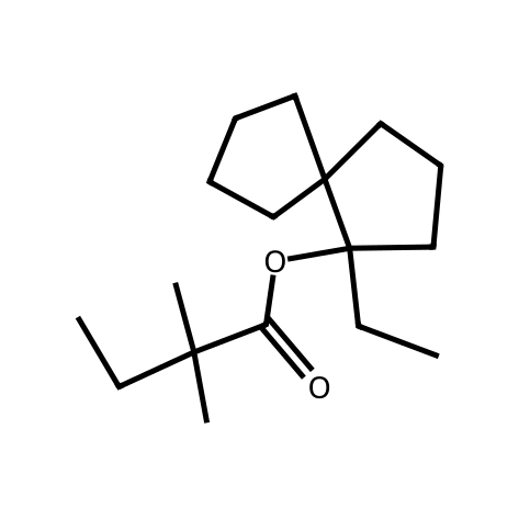 CCC(C)(C)C(=O)OC1(CC)CCCC12CCCC2